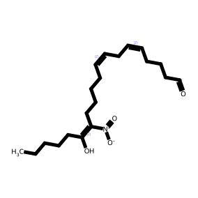 CCCCC/C(O)=C(\CCCC/C=C\C/C=C\CCC[C]=O)[N+](=O)[O-]